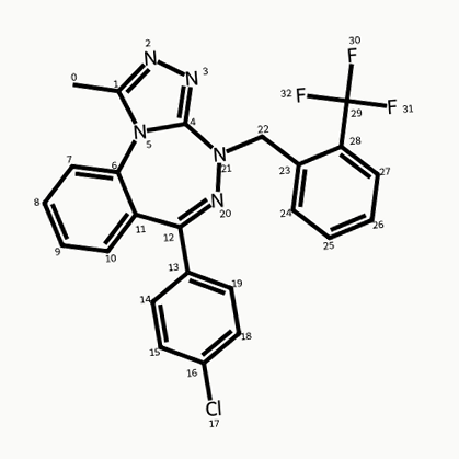 Cc1nnc2n1-c1ccccc1C(c1ccc(Cl)cc1)=NN2Cc1ccccc1C(F)(F)F